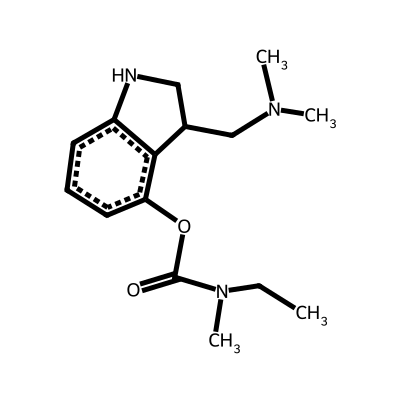 CCN(C)C(=O)Oc1cccc2c1C(CN(C)C)CN2